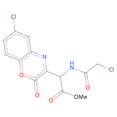 COC(=O)C(NC(=O)CCl)c1nc2cc(Cl)ccc2oc1=O